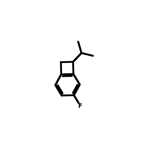 CC(C)C1Cc2ccc(F)cc21